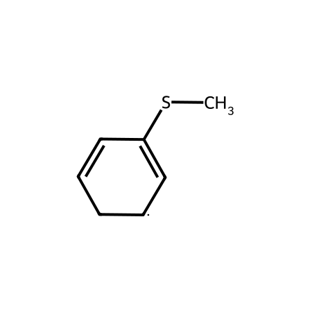 CSC1=C[CH]CC=C1